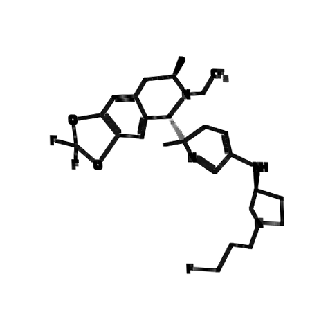 C[C@@H]1Cc2cc3c(cc2[C@@H](C2(C)CC=C(N[C@H]4CCN(CCCF)C4)C=N2)N1CC(F)(F)F)OC(F)(F)O3